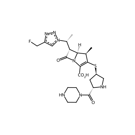 C[C@H]([C@H]1C(=O)N2C(C(=O)O)=C(S[C@H]3CN[C@H](C(=O)N4CCNCC4)C3)[C@H](C)[C@H]12)n1cc(CF)nn1